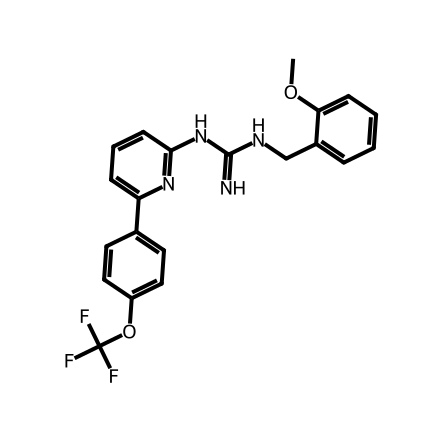 COc1ccccc1CNC(=N)Nc1cccc(-c2ccc(OC(F)(F)F)cc2)n1